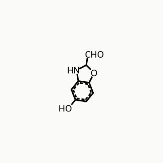 O=CC1Nc2cc(O)ccc2O1